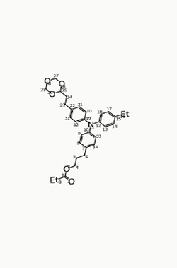 CCC(=O)OCCCc1ccc(N(c2ccc(CC)cc2)c2ccc(CCC3OCOCO3)cc2)cc1